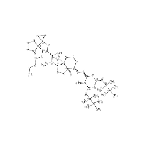 C=C1/C(=C\C=C2/CCC[C@]3(C)[C@@H]([C@H](C)[C@@H](O)CCC4(C5(CCCCCC)OCCO5)CC4)CC[C@@H]23)C[C@@H](O[Si](C)(C)C(C)(C)C)C[C@@H]1O[Si](C)(C)C(C)(C)C